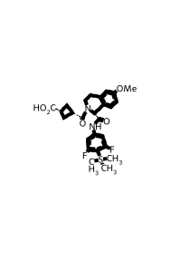 COc1ccc2c(c1)CCN(C(=O)[C@H]1C[C@@H](C(=O)O)C1)[C@H]2C(=O)Nc1cc(F)c(S(C)(C)C)c(F)c1